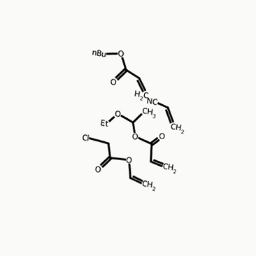 C=CC#N.C=CC(=O)OC(C)OCC.C=CC(=O)OCCCC.C=COC(=O)CCl